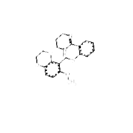 COc1ccc2c(c1CSc1ccccc1C1=NCCCN1)OCCO2